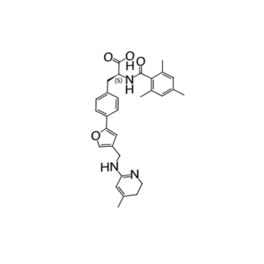 CC1=CC(NCc2coc(-c3ccc(C[C@H](NC(=O)c4c(C)cc(C)cc4C)C(=O)O)cc3)c2)=NCC1